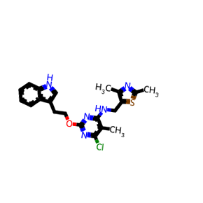 Cc1nc(C)c(CNc2nc(OCCc3c[nH]c4ccccc34)nc(Cl)c2C)s1